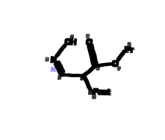 CCCCCC(/C=N\O)C(=O)OC(C)C